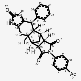 CC(=O)c1ccc(N2C(=O)[C@@H]3[C@H]4C[C@H]([C@@H]5Sc6[nH]c(=O)sc6[C@@H](c6ccccc6)[C@H]45)[C@@H]3C2=O)cc1